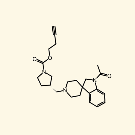 C#CCCOC(=O)N1CC[C@@H](CN2CCC3(CC2)CN(C(C)=O)c2ccccc23)C1